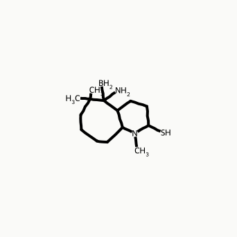 BC1(N)C2CCC(S)N(C)C2CCCCC1(C)C